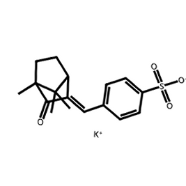 CC12CCC(C(=Cc3ccc(S(=O)(=O)[O-])cc3)C1=O)C2(C)C.[K+]